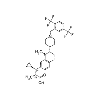 C[C@H](C(=O)O)[C@H](c1ccc2c(c1)N(C)C(C1CCN(Cc3cc(C(F)(F)F)ccc3C(F)(F)F)CC1)CC2)C1CC1